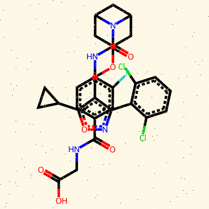 O=C(O)CNC(=O)c1ccc(NC(=O)N2C3CC(OCc4c(-c5c(Cl)cccc5Cl)noc4C4CC4)CC2C3)c(F)c1